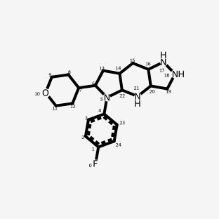 Fc1ccc(N2C(C3CCOCC3)CC3CC4NNCC4NC32)cc1